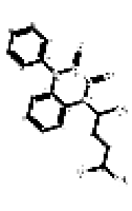 CC(C)CCC(C)N(N=O)c1ccccc1N(N=O)c1ccccc1